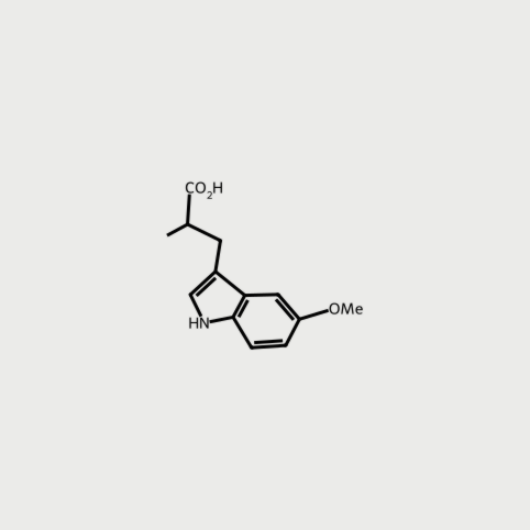 COc1ccc2[nH]cc(CC(C)C(=O)O)c2c1